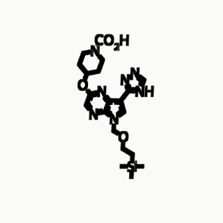 C[Si](C)(C)CCOCn1cc(-c2nnc[nH]2)c2nc(OC3CCN(C(=O)O)CC3)cnc21